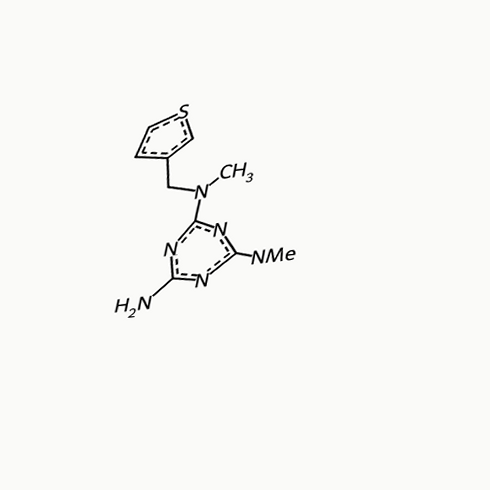 CNc1nc(N)nc(N(C)Cc2ccsc2)n1